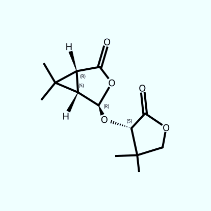 CC1(C)COC(=O)[C@H]1O[C@@H]1OC(=O)[C@@H]2[C@H]1C2(C)C